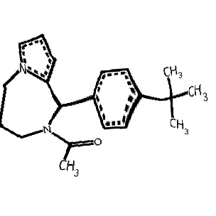 CC(=O)N1CCCn2cccc2C1c1ccc(C(C)(C)C)cc1